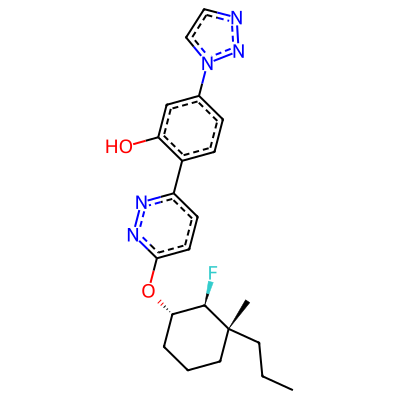 CCC[C@]1(C)CCC[C@H](Oc2ccc(-c3ccc(-n4ccnn4)cc3O)nn2)[C@H]1F